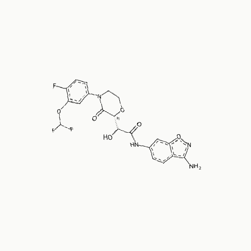 Nc1noc2cc(NC(=O)C(O)[C@H]3OCCN(c4ccc(F)c(OC(F)F)c4)C3=O)ccc12